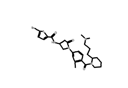 Cc1cc(N2CC(NC(=O)c3ccc(Br)s3)CC2=O)ccc1C(=O)N1CCCCC1CCCN(C)C